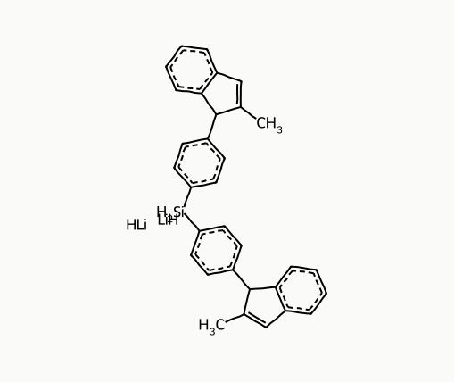 CC1=Cc2ccccc2C1c1ccc([SiH2]c2ccc(C3C(C)=Cc4ccccc43)cc2)cc1.[LiH].[LiH]